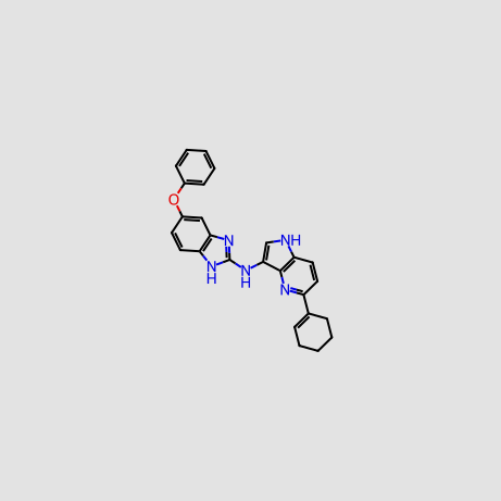 C1=C(c2ccc3[nH]cc(Nc4nc5cc(Oc6ccccc6)ccc5[nH]4)c3n2)CCCC1